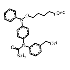 CCCCCCCCCCCCCCON(c1ccccc1)c1ccc(N(C(N)=O)c2cccc(CO)c2)cc1